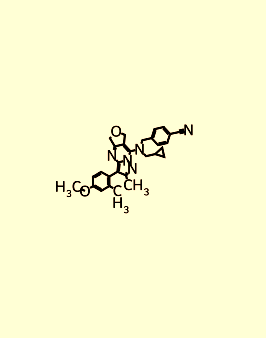 COc1ccc(-c2c(C)nn3c(N(Cc4ccc(C#N)cc4)CC4CC4)c4c(nc23)COC4)c(C)c1